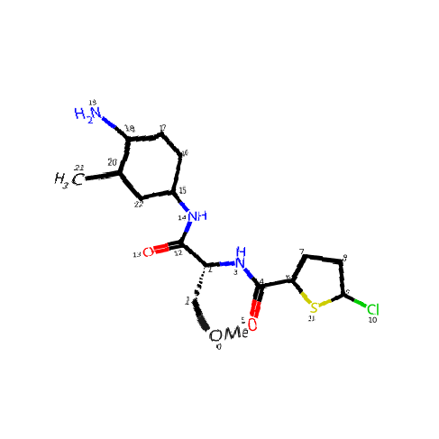 COC[C@@H](NC(=O)C1CCC(Cl)S1)C(=O)NC1CCC(N)C(C)C1